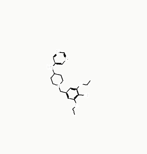 CCOc1cc(CN2CCC(Nc3cncnc3)CC2)cc(OCC)c1Cl